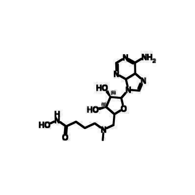 CN(CCCC(=O)NO)CC1OC(N2C=NC3C(N)=NC=NC32)[C@H](O)[C@@H]1O